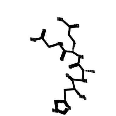 C[C@H](NC(=O)[C@@H](N)Cc1c[nH]cn1)C(=O)N[C@@H](CCC(=O)O)C(=O)NCC(=O)O